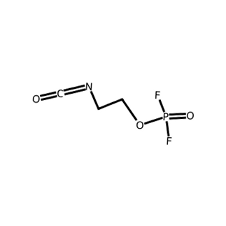 O=C=NCCOP(=O)(F)F